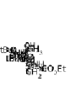 C=CCCC(NC(=O)[C@@H]1C2C(CN1C(=O)[C@@H](NC(=O)OC(C)(C)C)C(C)(C)C)C2(C)C)C(=O)C(=O)NC/C=C/C(=O)OCC